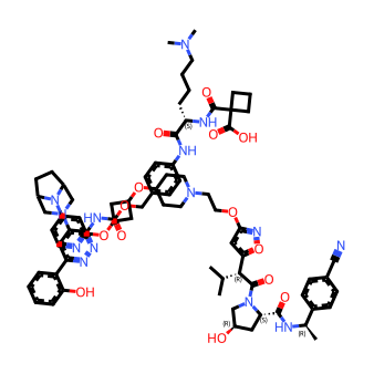 CC(C)[C@@H](C(=O)N1C[C@H](O)C[C@H]1C(=O)N[C@H](C)c1ccc(C#N)cc1)c1cc(OCCN2CCC(OC3CC(Oc4cc(N5C6CCC5CN(c5cc(-c7ccccc7O)nnc5NC(=O)OCc5ccc(NC(=O)[C@H](CCCCN(C)C)NC(=O)C7(C(=O)O)CCC7)cc5)C6)ccn4)C3)CC2)no1